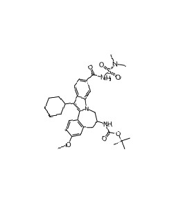 COc1ccc2c(c1)CC(NC(=O)OC(C)(C)C)Cn1c-2c(C2CCCCC2)c2ccc(C(=O)NS(=O)(=O)N(C)C)cc21